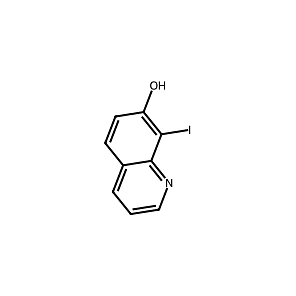 Oc1ccc2cccnc2c1I